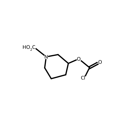 O=C(Cl)OC1CCCN(C(=O)O)C1